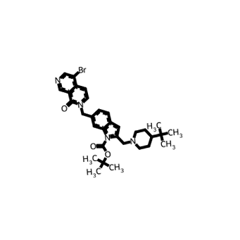 CC(C)(C)OC(=O)n1c(CN2CCC(C(C)(C)C)CC2)cc2ccc(Cn3ccc4c(Br)cncc4c3=O)cc21